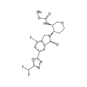 CC(C)(C)OC(=O)N[C@H]1COCC[C@H]1N1Cc2c(F)cc(-c3nnc(C(F)F)o3)cc2C1=O